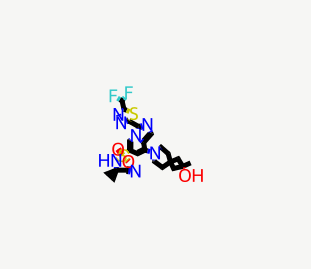 CC1(O)CC2(CCN(c3cc(S(=O)(=O)NC4(C#N)CC4)cn4c(-c5nnc(C(F)F)s5)ncc34)CC2)C1